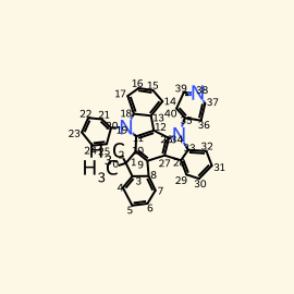 CC1(C)c2ccccc2-c2c1c1c(c3ccccc3n1-c1ccccc1)c1c2c2ccccc2n1-c1ccncc1